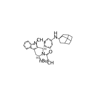 C#CC(=O)N1[C@@H](CCCC)Cc2c(n(C)c3ccccc23)[C@@H]1c1ccc(NC23CC4CC5CC(C2)C54C3)cc1